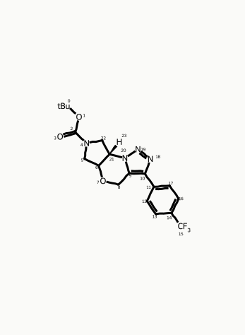 CC(C)(C)OC(=O)N1CC2OCc3c(-c4ccc(C(F)(F)F)cc4)nnn3[C@H]2C1